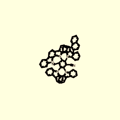 Cc1ccc2ccccc2c1-c1ccc2c3ccc4c5ccccc5oc4c3n(-c3c(C#N)c(-n4c5ccccc5c5ccccc54)c(-n4c5ccccc5c5ccccc54)c(C#N)c3-n3c4ccccc4c4ccccc43)c2c1